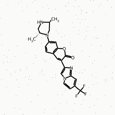 C[C@@H]1CN[C@@H](C)CN1c1ccc2cc(-c3cn4ccc(C(F)(F)F)cc4n3)c(=O)oc2c1